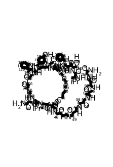 CC(=O)N[C@@H](CC(C)C)C(=O)N[C@H](C(=O)C(=O)[C@H](Cc1ccccc1)NN[C@]1(C)CCCCCC/C=C/CCC[C@@](C)(C(=O)CN[C@@H](C)C(=O)CCN[C@@H](C)C(=O)CCN[C@@H](C)C(=O)CNC(C)(C)C(=O)CN[C@@H](C)C(=O)CN[C@H](C)C(N)=O)NC(=O)[C@H](CC(C)C)NC(=O)[C@H](CCC(N)=O)NCN[C@@H](C)C(=O)CC(=O)[C@H](Cc2c[nH]c3ccccc23)NN[C@@H](Cc2ccc(O)cc2)C(=O)C(=O)[C@H](CCC(=O)O)NC1=O)[C@@H](C)O